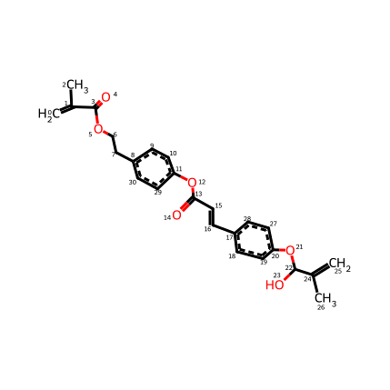 C=C(C)C(=O)OCCc1ccc(OC(=O)/C=C/c2ccc(OC(O)C(=C)C)cc2)cc1